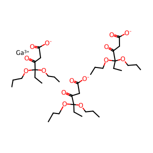 CCCOC(CC)(OCCC)C(=O)CC(=O)[O-].CCCOC(CC)(OCCC)C(=O)CC(=O)[O-].CCCOC(CC)(OCCC)C(=O)CC(=O)[O-].[Ga+3]